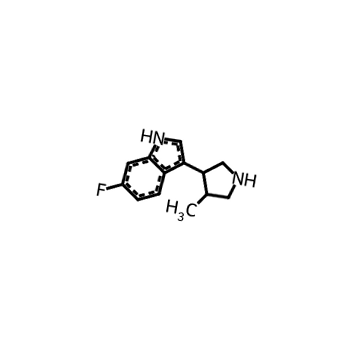 CC1CNCC1c1c[nH]c2cc(F)ccc12